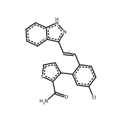 NC(=O)c1sccc1-c1cc(Cl)ccc1/C=C/c1n[nH]c2ccccc12